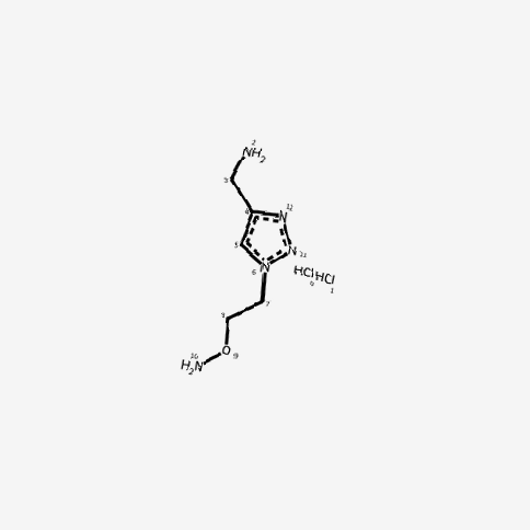 Cl.Cl.NCc1cn(CCON)nn1